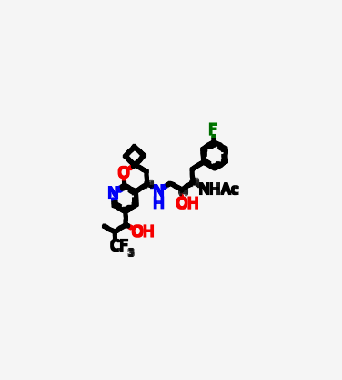 CC(=O)N[C@@H](Cc1cccc(F)c1)[C@H](O)CN[C@H]1CC2(CCC2)Oc2ncc(C(O)C(C)C(F)(F)F)cc21